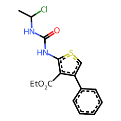 CCOC(=O)c1c(-c2ccccc2)csc1NC(=O)NC(C)Cl